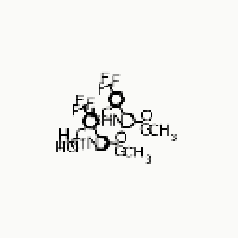 COC(=O)C1CCNC(c2ccc(C(F)(F)F)cc2C)C1.COC(=O)c1ccnc(-c2ccc(C(F)(F)F)cc2C)c1.Cl.Cl